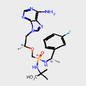 C[C@H](Cn1cnc2c(N)ncnc21)OC[P@@](=O)(N[C@@H](C)c1cccc(F)c1)NC(C)(C)C(=O)O